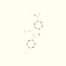 COc1ccc(N2C(=O)c3ccc([N+](=O)[O-])cc3C2O)cc1